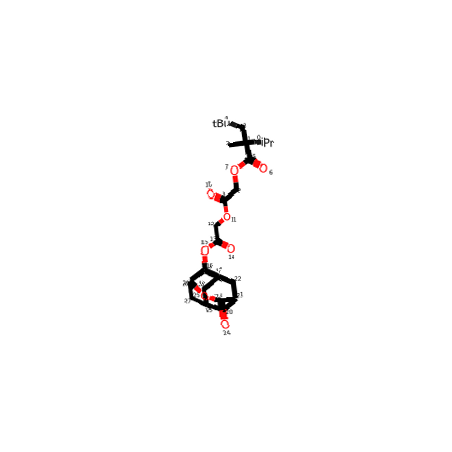 CC(C)C(C)(CC(C)(C)C)C(=O)OCC(=O)OCC(=O)OC1C2CC3CC(C2)C(=O)OC1C3